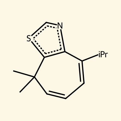 CC(C)C1=CC=CC(C)(C)c2scnc21